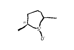 CC1CC[C@H](C)[S+]1[O-]